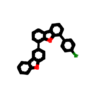 Brc1ccc(-c2cccc3c2oc2c(-c4ccc5oc6ccccc6c5c4)cccc23)cc1